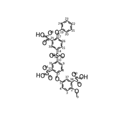 COc1ccc(Oc2ccc(S(=O)(=O)c3ccc(Oc4ccccc4)c(S(=O)(=O)O)c3)cc2S(=O)(=O)O)cc1S(=O)(=O)O